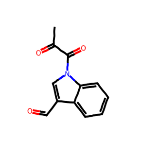 CC(=O)C(=O)n1cc(C=O)c2ccccc21